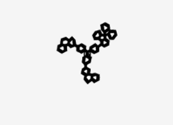 c1ccc(C2(c3ccccc3)c3ccccc3-c3c(-c4ccc(N(c5ccc(-c6ccc7ccc8ccccc8c7c6)cc5)c5ccc(-c6ccc7ccc8ccccc8c7c6)cc5)cc4)cccc32)cc1